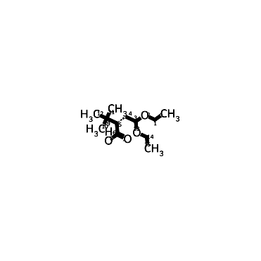 CCOC(C[C@H](C(=O)O)C(C)(C)C)OCC